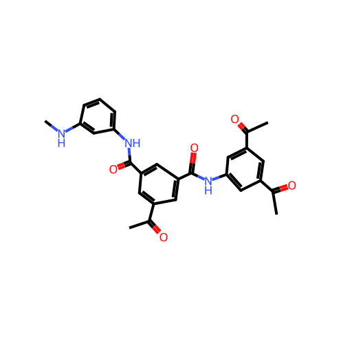 CNc1cccc(NC(=O)c2cc(C(C)=O)cc(C(=O)Nc3cc(C(C)=O)cc(C(C)=O)c3)c2)c1